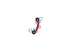 O=C(CCc1nc2c(Cl)cccc2o1)CCc1nc2c(Cl)cccc2o1